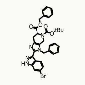 CC(C)(C)OC(=O)N1Cc2c(nc(-c3n[nH]c4cc(Br)ccc34)n2Cc2ccccc2)C[C@H]1C(=O)OCc1ccccc1